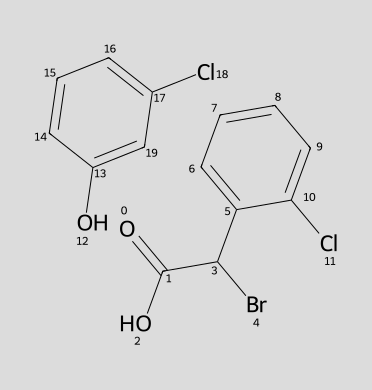 O=C(O)C(Br)c1ccccc1Cl.Oc1cccc(Cl)c1